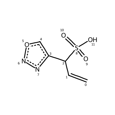 C=CC(c1conn1)S(=O)(=O)O